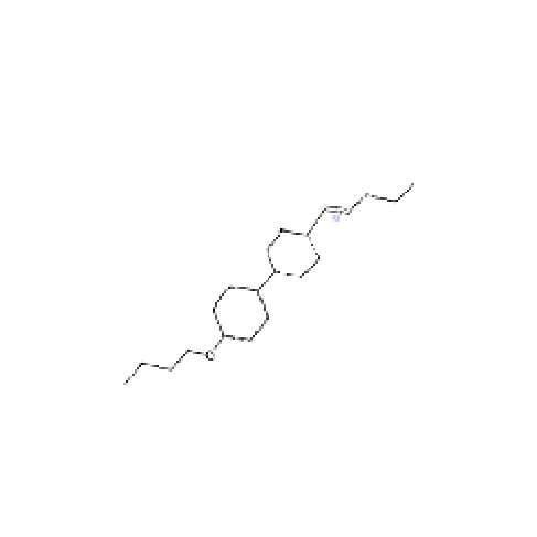 CCC/C=C/C1CCC(C2CCC(OCCCC)CC2)CC1